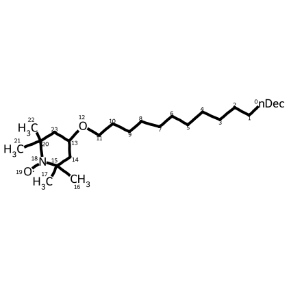 CCCCCCCCCCCCCCCCCCCCCOC1CC(C)(C)N([O])C(C)(C)C1